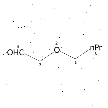 CCCCOC[C]=O